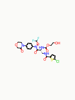 O=C(N[C@H](CNC(=O)c1ccc(Cl)s1)C(=O)N(OC(F)F)c1ccc(N2CCOCC2=O)cc1)OCCO